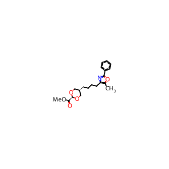 COC(=O)[C@H]1OC[C@H](CCCCc2nc(-c3ccccc3)oc2C)CO1